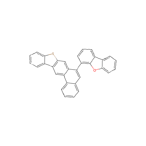 c1ccc2c(c1)cc(-c1cccc3c1oc1ccccc13)c1cc3sc4ccccc4c3cc12